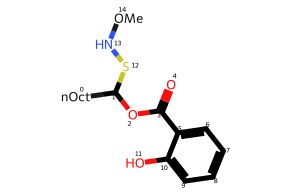 CCCCCCCCC(OC(=O)c1ccccc1O)SNOC